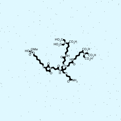 COP(=O)(O)OCCCCCCSC1CC(=O)N(CCC(=O)NC(COCCC(N)=O)(COCCC(=O)NCCCCC(C(=O)O)N(CC(=O)O)CC(=O)O)COCCC(=O)NCCCCC(C(=O)O)N(CC(=O)O)CC(=O)O)C1=O